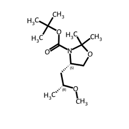 CO[C@H](C)C[C@H]1COC(C)(C)N1C(=O)OC(C)(C)C